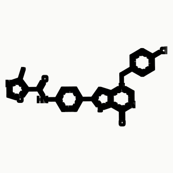 Cc1ncoc1C(=O)Nc1ccc(-c2cc3c(s2)c(=O)ncn3Cc2ccc(Cl)cc2)cc1